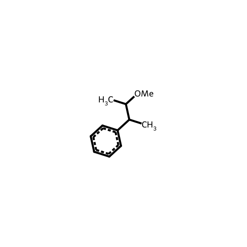 COC(C)C(C)c1ccccc1